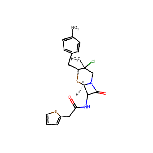 O=C(Cc1cccs1)NC1C(=O)N2CC(Cl)(C(=O)O)C(Cc3ccc([N+](=O)[O-])cc3)S[C@H]12